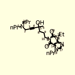 CCCN(CC#CC(C)(O)CCCn1c(=O)c2c(ncn2CCC)n(CC)c1=O)CCC